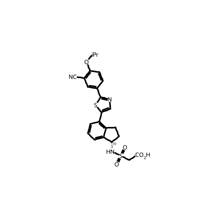 CC(C)Oc1ccc(-c2ncc(-c3cccc4c3CC[C@@H]4NS(=O)(=O)CC(=O)O)s2)cc1C#N